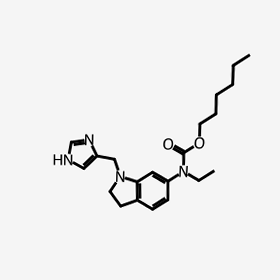 CCCCCCOC(=O)N(CC)c1ccc2c(c1)N(Cc1c[nH]cn1)CC2